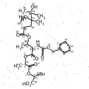 CCC(C)[C@H](OC(=O)[C@H](C)OC(=O)[C@@H](NC(=O)OCc1ccccc1)[C@@H](C)OC(=O)[C@H](CC(C)C)CC(C)(C)[Si](C)(C)O)C(=O)O